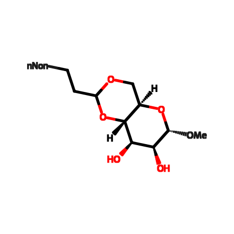 CCCCCCCCCCCC1OC[C@H]2O[C@H](OC)[C@@H](O)[C@@H](O)[C@@H]2O1